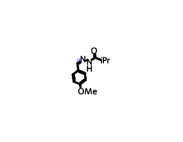 COc1ccc(/C=N\NC(=O)C(C)C)cc1